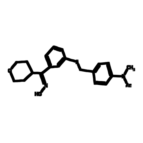 CC(=O)N(C)c1ccc(CSc2cccc(C(=NO)C3CCOCC3)c2)cc1